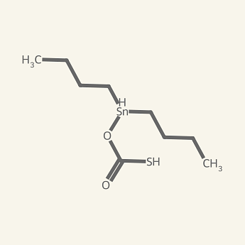 CCC[CH2][SnH]([CH2]CCC)[O]C(=O)S